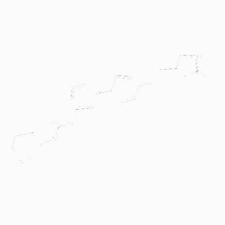 Cc1cc(-c2cncc(NC(=O)NC3CCCN(C)C3)n2)ccc1OCC1CNC(=O)C1